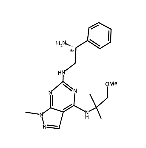 COCC(C)(C)Nc1nc(NC[C@H](N)c2ccccc2)nc2c1cnn2C